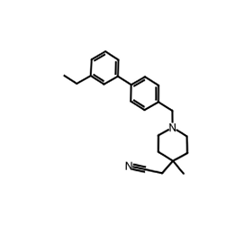 CCc1cccc(-c2ccc(CN3CCC(C)(CC#N)CC3)cc2)c1